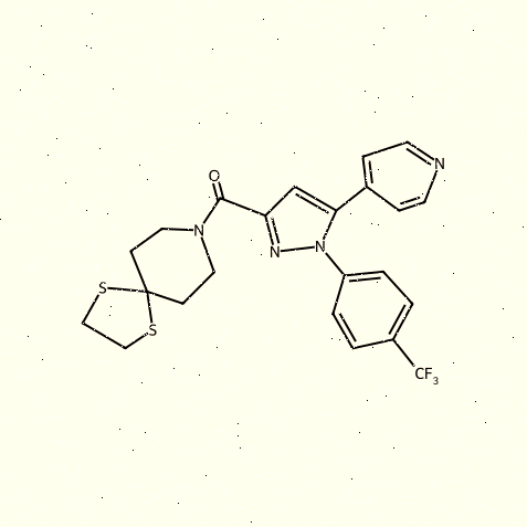 O=C(c1cc(-c2ccncc2)n(-c2ccc(C(F)(F)F)cc2)n1)N1CCC2(CC1)SCCS2